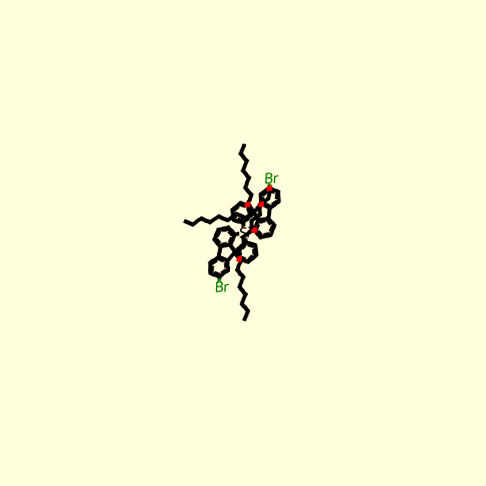 CCCCCCCCC1(CCCCCCCC)c2cc(Br)ccc2-c2cccc([Si](c3ccccc3)(c3ccccc3)c3cccc4c3C(CCCCCCCC)(CCCCCCCC)c3cc(Br)ccc3-4)c21